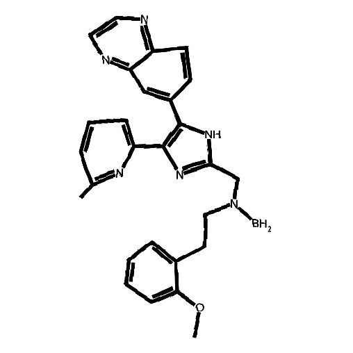 BN(CCc1ccccc1OC)Cc1nc(-c2cccc(C)n2)c(-c2ccc3nccnc3c2)[nH]1